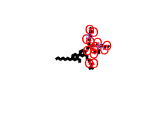 C=C(C)C(=O)OCCCc1cc(-c2ccc(CCCCCCC)cc2CC)ccc1OCC(COC(=O)/C=C/C(=O)OC)(COC(=O)/C=C/C(=O)OC)COC(=O)C(=C)C